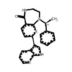 C[C@@H](c1ccccc1)N1CCNC(=O)c2ccc(-c3c[nH]c4ncccc34)nc21